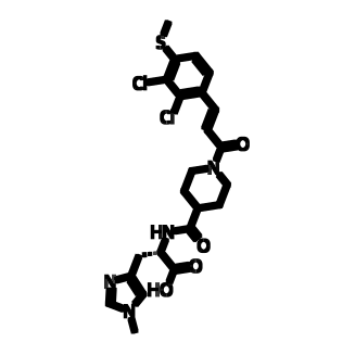 CSc1ccc(/C=C/C(=O)N2CCC(C(=O)N[C@@H](Cc3cn(C)cn3)C(=O)O)CC2)c(Cl)c1Cl